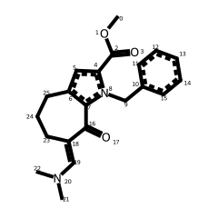 COC(=O)c1cc2c(n1Cc1ccccc1)C(=O)C(=CN(C)C)CCC2